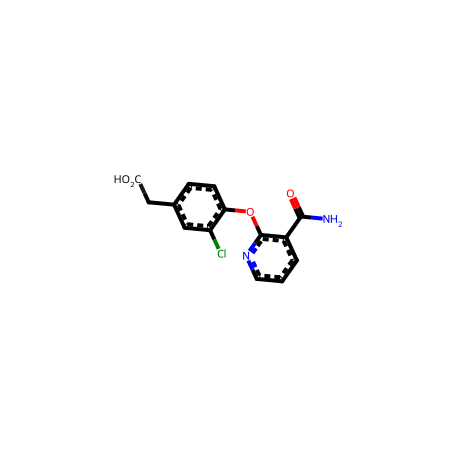 NC(=O)c1cccnc1Oc1ccc(CC(=O)O)cc1Cl